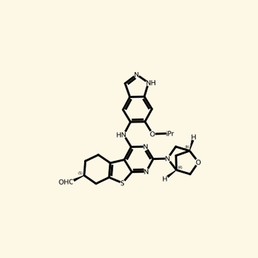 CC(C)Oc1cc2[nH]ncc2cc1Nc1nc(N2C[C@H]3C[C@@H]2CO3)nc2sc3c(c12)CC[C@H](C=O)C3